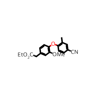 CCOC(=O)Cc1ccc(Oc2ccc(C#N)cc2C)c(OC)c1